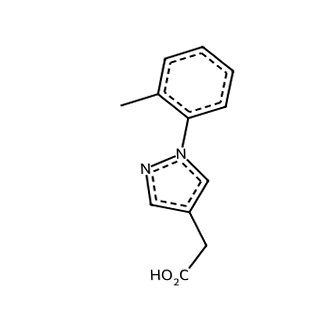 Cc1ccccc1-n1cc(CC(=O)O)cn1